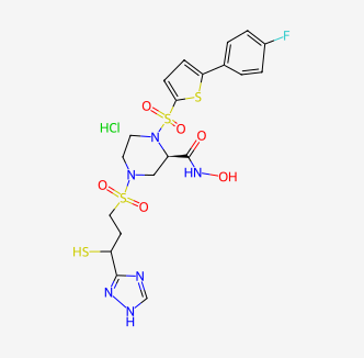 Cl.O=C(NO)[C@H]1CN(S(=O)(=O)CCC(S)c2nc[nH]n2)CCN1S(=O)(=O)c1ccc(-c2ccc(F)cc2)s1